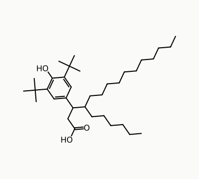 CCCCCCCCCCCC(CCCCCC)C(CC(=O)O)c1cc(C(C)(C)C)c(O)c(C(C)(C)C)c1